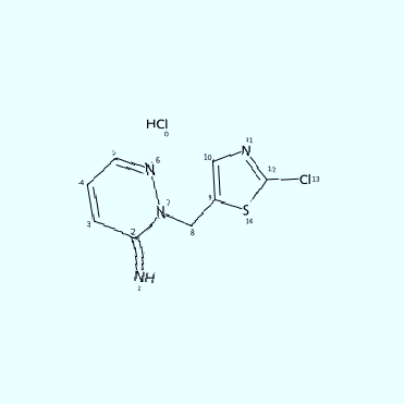 Cl.N=c1cccnn1Cc1cnc(Cl)s1